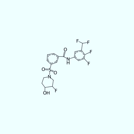 O=C(Nc1cc(F)c(F)c(C(F)F)c1)c1cccc(S(=O)(=O)N2CCC(O)C(F)C2)c1